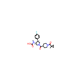 CN(C(=O)O)[C@H]1CN(C(=O)C2CCN(C(=O)C3(C)CC3)CC2)C[C@@H]1c1ccc(F)cc1